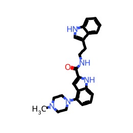 CN1CCN(c2cccc3[nH]c(C(=O)NCCc4c[nH]c5ccccc45)cc23)CC1